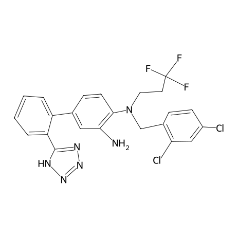 Nc1cc(-c2ccccc2-c2nnn[nH]2)ccc1N(CCC(F)(F)F)Cc1ccc(Cl)cc1Cl